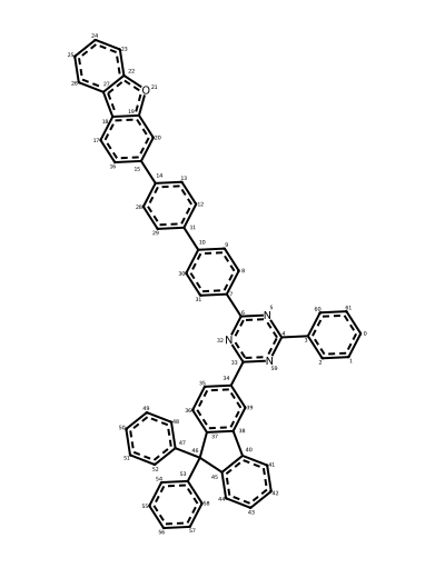 c1ccc(-c2nc(-c3ccc(-c4ccc(-c5ccc6c(c5)oc5ccccc56)cc4)cc3)nc(-c3ccc4c(c3)-c3ccccc3C4(c3ccccc3)c3ccccc3)n2)cc1